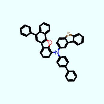 c1ccc(-c2ccc(N(c3ccc4sc5ccccc5c4c3)c3cccc4c3oc3c5ccccc5c(-c5ccccc5)cc43)cc2)cc1